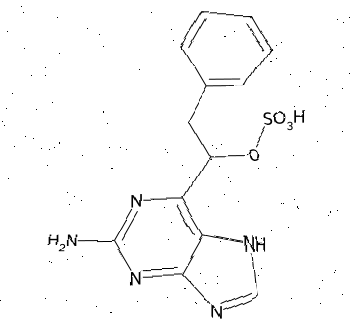 Nc1nc(C(Cc2ccccc2)OS(=O)(=O)O)c2[nH]cnc2n1